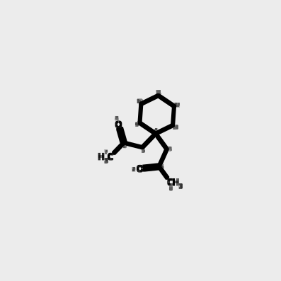 CC(=O)CC1(CC(C)=O)CCCCC1